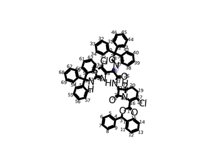 O=C(OC(c1ccccc1)c1ccccc1)C1=C(Cl)CC[C@@H]2[C@H](NC(=O)/C(=N/OC(c3ccccc3)(c3ccccc3)c3ccccc3)c3nc(NC(c4ccccc4)(c4ccccc4)c4ccccc4)sc3Cl)C(=O)N12